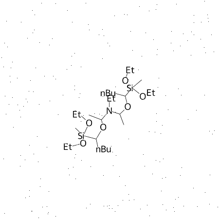 CCCCC(OC(C)N(CC)C(C)OC(CCCC)[Si](C)(OCC)OCC)[Si](C)(OCC)OCC